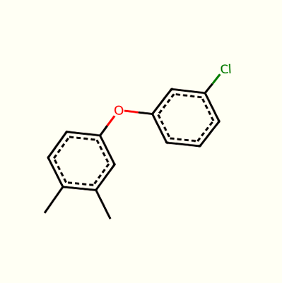 Cc1ccc(Oc2cccc(Cl)c2)cc1C